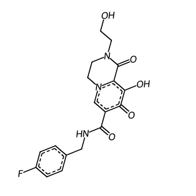 O=C(NCc1ccc(F)cc1)c1cn2c(c(O)c1=O)C(=O)N(CCO)CC2